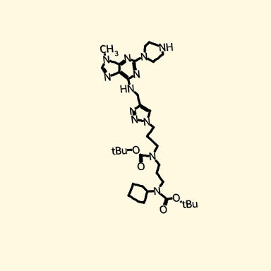 Cn1cnc2c(NCc3cn(CCCN(CCCN(C(=O)OC(C)(C)C)C4CCCCC4)C(=O)OC(C)(C)C)nn3)nc(N3CCNCC3)nc21